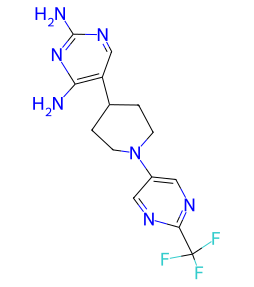 Nc1ncc(C2CCN(c3cnc(C(F)(F)F)nc3)CC2)c(N)n1